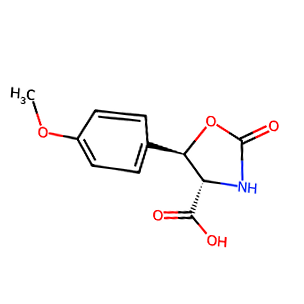 COc1ccc([C@H]2OC(=O)N[C@@H]2C(=O)O)cc1